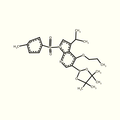 CCCOc1c(B2OC(C)(C)C(C)(C)O2)cnc2c1c(C(C)C)cn2S(=O)(=O)c1ccc(C)cc1